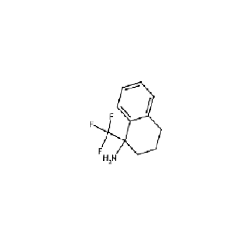 NC1(C(F)(F)F)CCCc2ccccc21